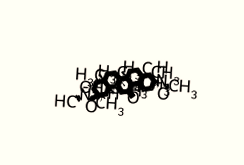 C#CN(O)C(=O)[C@@]1(C)CC[C@]2(C)CC[C@]3(C)C(=CC(=O)[C@@H]4[C@@]5(C)CC[C@H](NC(C)=O)C(C)(C)C5CC[C@]43C)[C@@H]2C1